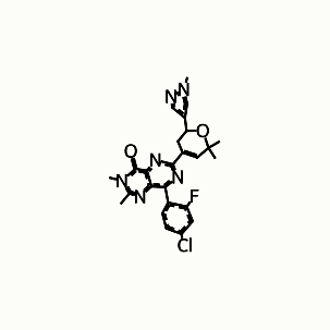 Cc1nc2c(-c3ccc(Cl)cc3F)nc(C3=CC(C)(C)OC(c4cnn(C)c4)C3)nc2c(=O)n1C